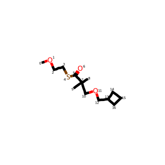 COCCSC(=O)C(C)(C)COCC1CCC1